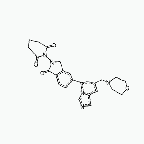 O=C1c2ccc(-c3cc(CN4CCOCC4)cc4cncn34)cc2CN1N1C(=O)CCCC1=O